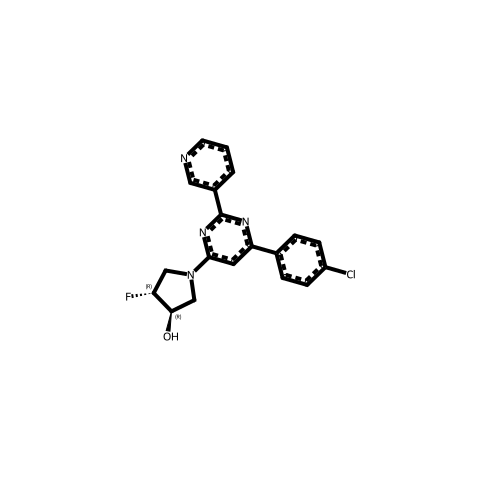 O[C@@H]1CN(c2cc(-c3ccc(Cl)cc3)nc(-c3cccnc3)n2)C[C@H]1F